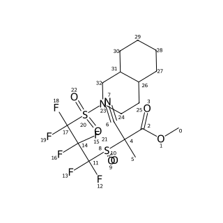 COC(=O)C(C)(C#N)S(=O)(=O)C(F)(F)C(F)(F)C(F)(F)S(=O)(=O)N1CCC2CCCCC2C1